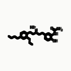 Br.CCCCc1ccc(CCNCCc2ccc(O)c(NC(N)=O)c2)c(CCC)c1